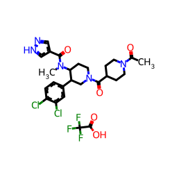 CC(=O)N1CCC(C(=O)N2CCC(N(C)C(=O)c3cn[nH]c3)C(c3ccc(Cl)c(Cl)c3)C2)CC1.O=C(O)C(F)(F)F